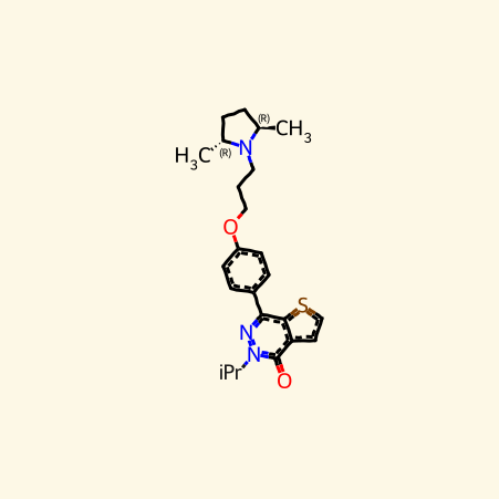 CC(C)n1nc(-c2ccc(OCCCN3[C@H](C)CC[C@H]3C)cc2)c2sccc2c1=O